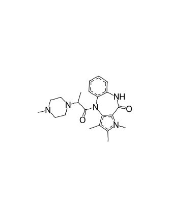 Cc1c2c(n(C)c1C)C(=O)Nc1ccccc1N2C(=O)C(C)N1CCN(C)CC1